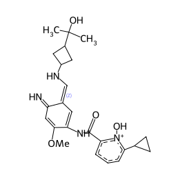 COC1=CC(=N)/C(=C\NC2CC(C(C)(C)O)C2)C=C1NC(=O)c1cccc(C2CC2)[n+]1O